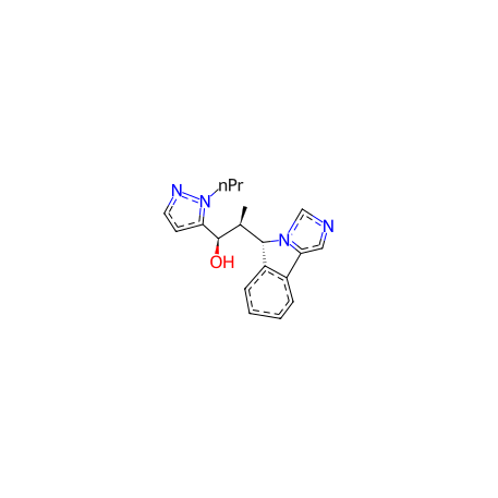 CCCn1nccc1[C@H](O)[C@@H](C)[C@H]1c2ccccc2-c2cncn21